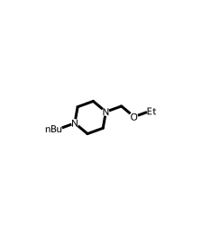 CCCCN1CCN(COCC)CC1